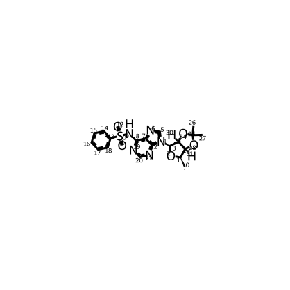 [CH2][C@H]1O[C@@H](n2cnc3c(NS(=O)(=O)c4ccccc4)ncnc32)[C@@H]2OC(C)(C)O[C@@H]21